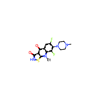 CCn1c2s[nH]c(=O)c2c(=O)c2cc(F)c(N3CCN(C)CC3)c(F)c21